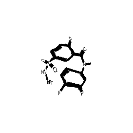 CCCNS(=O)(=O)c1ccc(F)c(C(=O)N(C)c2ccc(F)c(F)c2)c1